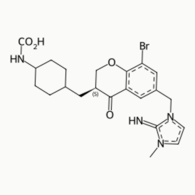 Cn1ccn(Cc2cc(Br)c3c(c2)C(=O)[C@@H](CC2CCC(NC(=O)O)CC2)CO3)c1=N